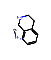 CC(N)=O.c1ccc2c(c1)CCNC2